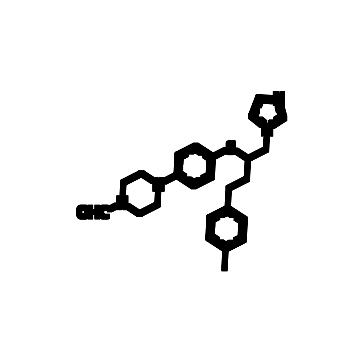 Cc1ccc(CCC(Cn2ccnc2)Sc2ccc(N3CCN(C=O)CC3)cc2)cc1